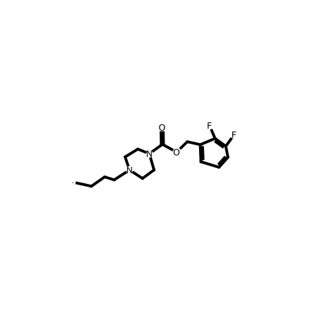 [CH2]CCCN1CCN(C(=O)OCc2cccc(F)c2F)CC1